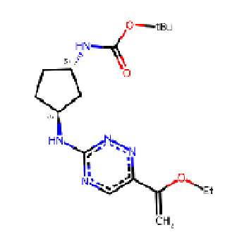 C=C(OCC)c1cnc(N[C@H]2CC[C@H](NC(=O)OC(C)(C)C)C2)nn1